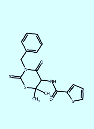 CC1(C)SC(=S)N(Cc2ccccc2)C(=O)C1NC(=O)c1cccs1